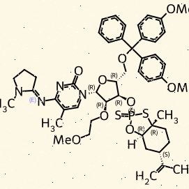 C=C(C)[C@H]1CC[C@@]2(C)S[P@@](=S)(O[C@H]3[C@@H](OCCOC)[C@H](n4cc(C)c(/N=C5\CCCN5C)nc4=O)O[C@@H]3COC(c3ccccc3)(c3ccc(OC)cc3)c3ccc(OC)cc3)O[C@@H]2C1